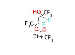 CCC(C)(C(=O)OC(CCC(O)(C(F)F)C(F)(F)F)C(F)(F)F)C(F)(F)F